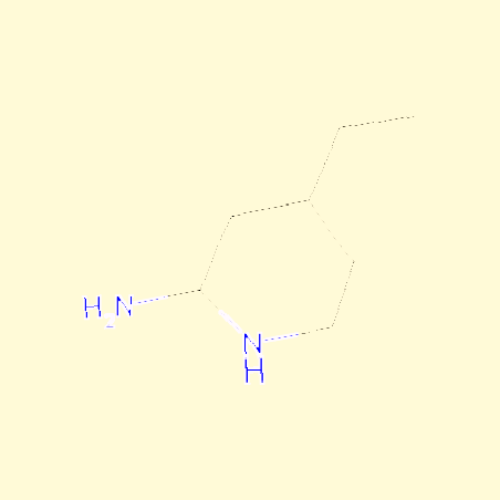 CCC1CCNC(N)C1